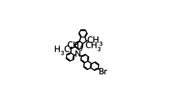 CC1(C)c2ccccc2-c2cc3c(cc21)N(c1ccc2c(ccc4cc(Br)ccc42)c1)c1ccccc1C3(C)C